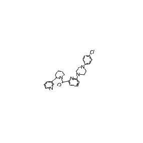 O=C(c1cccc(N2CCN(c3ccc(Cl)cc3)CC2)n1)N1CCCCC1c1cccnc1